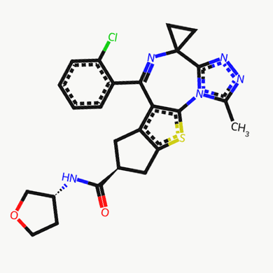 Cc1nnc2n1-c1sc3c(c1C(c1ccccc1Cl)=NC21CC1)C[C@H](C(=O)N[C@@H]1CCOC1)C3